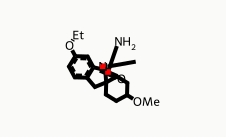 CCOc1ccc2c(c1)C1(N=C(N)N(C)C1=O)C1(CCC(OC)CC1)C2